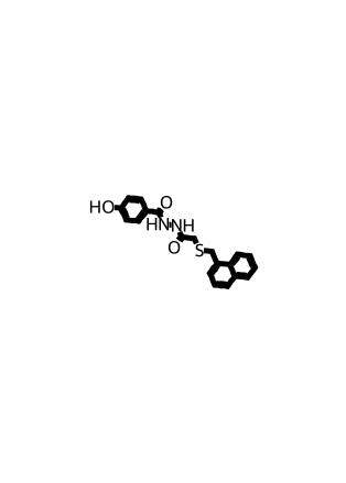 O=C(CSCc1cccc2ccccc12)NNC(=O)c1ccc(O)cc1